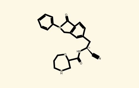 N#C[C@H](Cc1ccc2c(c1)CN(c1ccccc1)C2=O)NC(=O)C1CNCCCO1